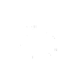 O=C(O)C(=O)c1cnnnc1F